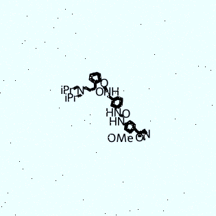 COc1cc(NC(=O)Nc2cccc(CNC(=O)OC(CCN(CC(C)C)CC(C)C)c3ccccc3)c2)ccc1-c1cnco1